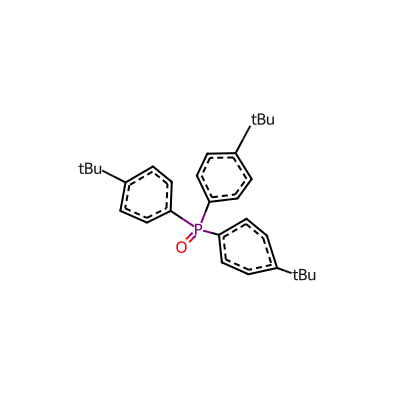 CC(C)(C)c1ccc(P(=O)(c2ccc(C(C)(C)C)cc2)c2ccc(C(C)(C)C)cc2)cc1